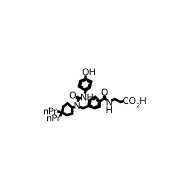 CCCC1(CCC)CCC(N(Cc2ccc(C(=O)NCCC(=O)O)cc2)C(=O)Nc2ccc(O)cc2)CC1